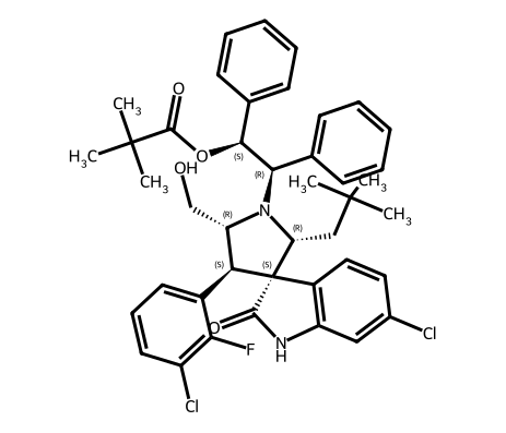 CC(C)(C)C[C@H]1N([C@H](c2ccccc2)[C@@H](OC(=O)C(C)(C)C)c2ccccc2)[C@@H](CO)[C@H](c2cccc(Cl)c2F)[C@@]12C(=O)Nc1cc(Cl)ccc12